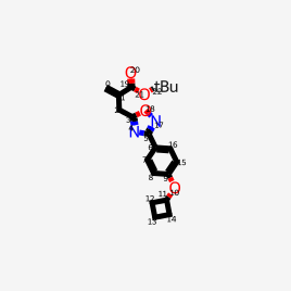 C=C(Cc1nc(-c2ccc(OC3CCC3)cc2)no1)C(=O)OC(C)(C)C